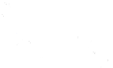 Nc1ccc(/C=C/C(=O)NCC2Cc3cc(-c4ccc(C(=O)N5CC(F)(F)C5)c(F)c4F)cc(Cl)c3O2)cn1